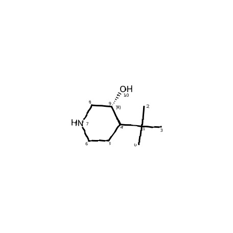 CC(C)(C)C1CCNC[C@@H]1O